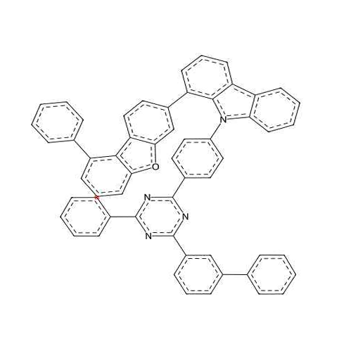 c1ccc(-c2cccc(-c3nc(-c4ccccc4)nc(-c4ccc(-n5c6ccccc6c6cccc(-c7ccc8c(c7)oc7cccc(-c9ccccc9)c78)c65)cc4)n3)c2)cc1